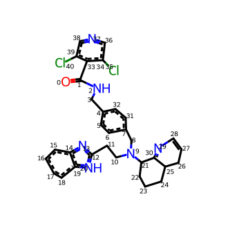 O=C(NCc1ccc(CN(CCc2nc3ccccc3[nH]2)C2CCCC3CC=CN=C32)cc1)c1c(Cl)cncc1Cl